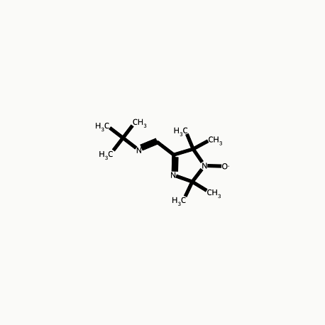 CC(C)(C)N=CC1=NC(C)(C)N([O])C1(C)C